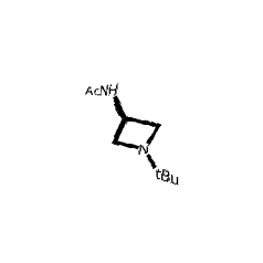 CC(=O)NC1CN(C(C)(C)C)C1